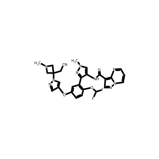 CN1CC(CC#N)(n2cc(Oc3ccc(OC(F)F)c(-c4nn(C)cc4NC(=O)c4cnn5cccnc45)c3)cn2)C1